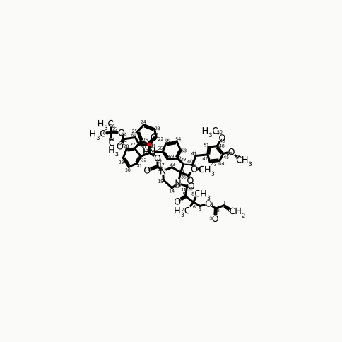 C=CC(=O)OCC(C)(C)C(=O)C(=O)N1CCN(C(=O)OC2c3ccccc3-c3ccccc32)CC1(C(=O)OC)[C@H](CCc1ccc(OC)c(OC)c1)c1cccc(NC(=O)CCC(=O)OC(C)(C)C)c1